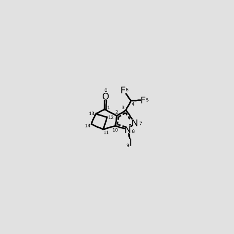 O=C1c2c(C(F)F)nn(I)c2C2CC1C2